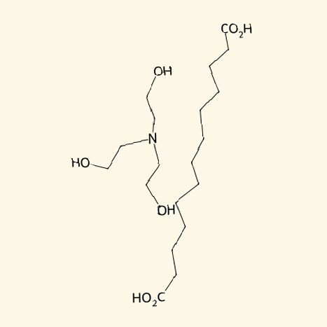 O=C(O)CCCCCCCCCCCC(=O)O.OCCN(CCO)CCO